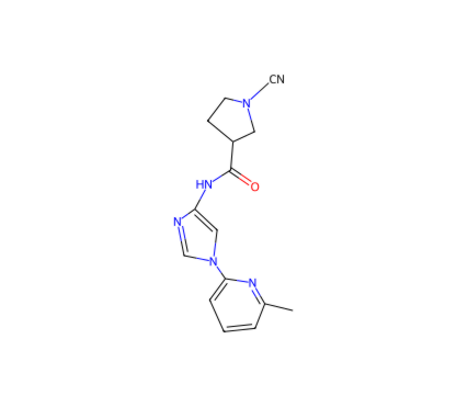 Cc1cccc(-n2cnc(NC(=O)C3CCN(C#N)C3)c2)n1